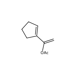 C=C(OC(C)=O)C1=CCCC1